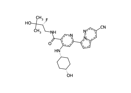 CC(C)(O)[C@H](F)CNC(=O)c1cnc(-c2ccc3cc(C#N)cnn23)cc1N[C@H]1CC[C@@H](O)CC1